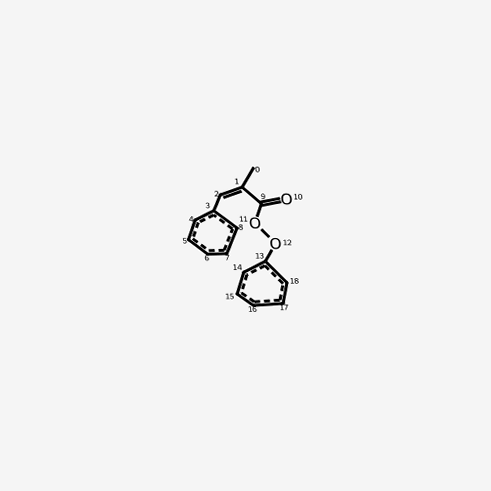 CC(=Cc1ccccc1)C(=O)OOc1ccccc1